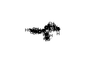 CCn1c(CNC(=O)c2nc3cc[nH]c3nc2N)[n+](CC)c2ccc(-c3cnn(C4CCN(CC(O)C(O)C(O)C(O)CO)CC4)c3)cc21.O=C(O)C(F)(F)F.O=C([O-])C(F)(F)F